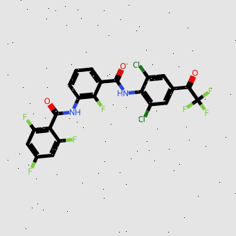 O=C(Nc1c(Cl)cc(C(=O)C(F)(F)F)cc1Cl)c1cccc(NC(=O)c2c(F)cc(F)cc2F)c1F